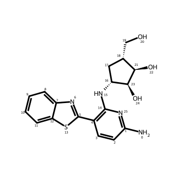 Nc1ccc(-c2nc3ccccc3s2)c(N[C@@H]2C[C@H](CO)[C@@H](O)[C@H]2O)n1